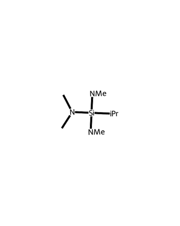 CN[Si](NC)(C(C)C)N(C)C